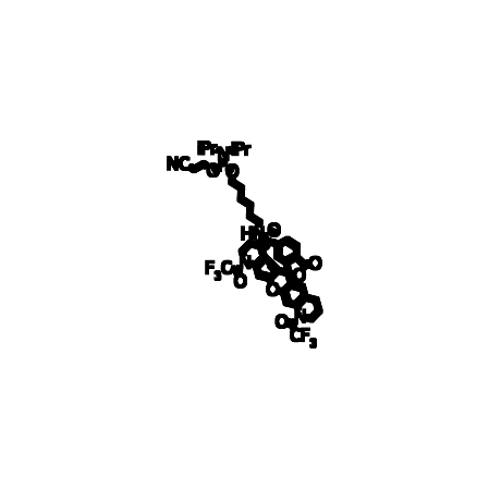 CC(C)N(C(C)C)P(OCCC#N)OCCCCCCNS(=O)(=O)c1ccc2c(c1)C1(OC2=O)c2cc3c(cc2Oc2cc4c(cc21)CCCN4C(=O)C(F)(F)F)N(C(=O)C(F)(F)F)CCC3